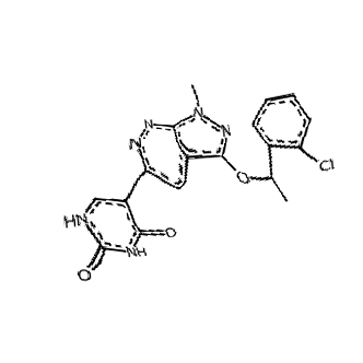 CC(Oc1nn(C)c2nnc(-c3c[nH]c(=O)[nH]c3=O)cc12)c1ccccc1Cl